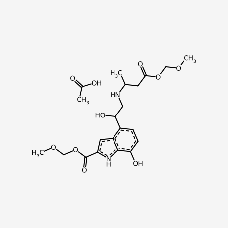 CC(=O)O.COCOC(=O)CC(C)NCC(O)c1ccc(O)c2[nH]c(C(=O)OCOC)cc12